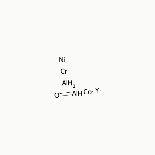 [AlH3].[Co].[Cr].[Ni].[O]=[AlH].[Y]